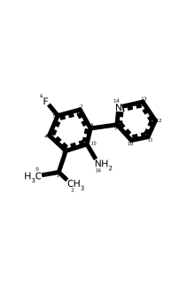 CC(C)c1cc(F)cc(-c2ccccn2)c1N